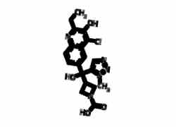 CCc1nc2ccc(C(O)(c3cnnn3C)C3CN(C(=O)O)C3)cc2c(Cl)c1O